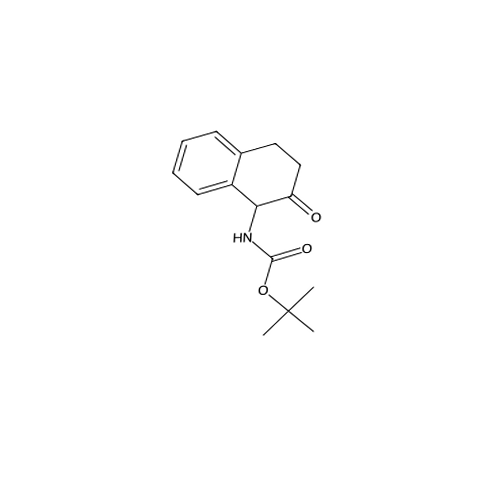 CC(C)(C)OC(=O)NC1C(=O)CCc2ccccc21